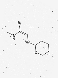 CN/C(Br)=C\NC1CCCCO1